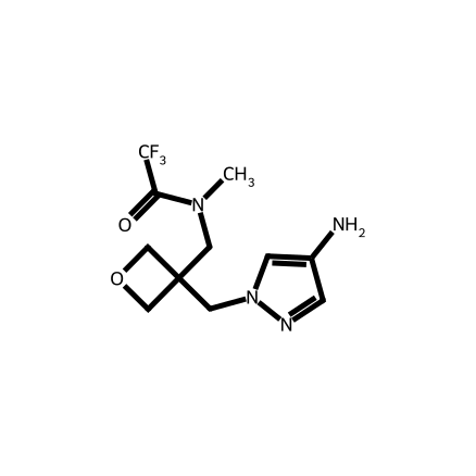 CN(CC1(Cn2cc(N)cn2)COC1)C(=O)C(F)(F)F